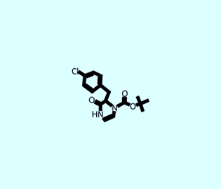 CC(C)(C)OC(=O)N1C=CNC(=O)C1Cc1ccc(Cl)cc1